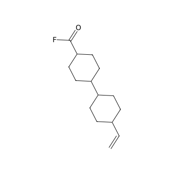 C=CC1CCC(C2CCC(C(=O)F)CC2)CC1